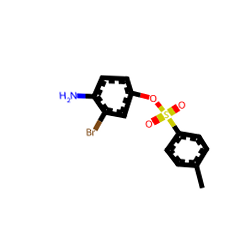 Cc1ccc(S(=O)(=O)Oc2ccc(N)c(Br)c2)cc1